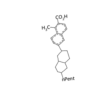 CCCCCC1CCC2CC(c3ccc4c(C)c(C(=O)O)ccc4c3)CCC2C1